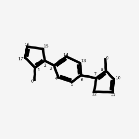 CC1=C(c2ccc(C3=C(C)C=CC3)cc2)CC=C1